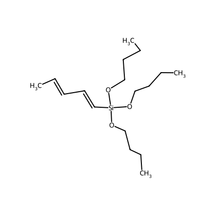 C/C=C/C=C/[Si](OCCCC)(OCCCC)OCCCC